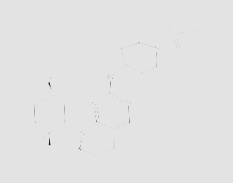 C[C@H]1CC[C@@H](O)C[C@@H]1n1c(=O)ccc2cnc(NC3CCN(S(C)(=O)=O)CC3)nc21